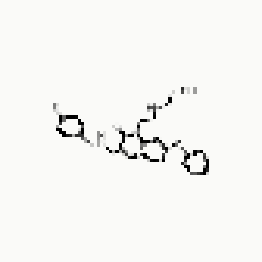 O=c1c(CNCc2ccc(F)cc2)cc2ccc(Oc3ccccc3)cc2n1CCNCCO